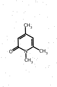 Cc1cc(C)n(C)c(=O)c1